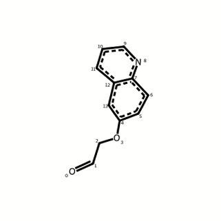 O=CCOc1ccc2ncccc2c1